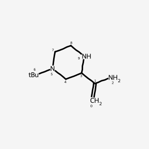 C=C(N)C1CN(C(C)(C)C)CCN1